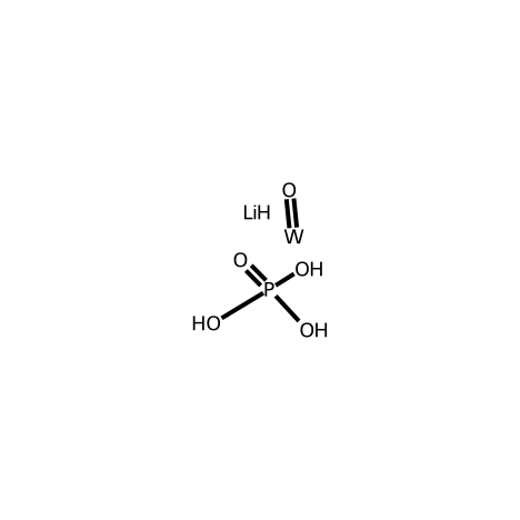 O=P(O)(O)O.[LiH].[O]=[W]